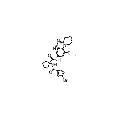 Cc1cc(NC(=O)C2(NC(=O)c3ccc(Br)s3)CCCC2)ccc1N1CCOC/C1=N/C#N